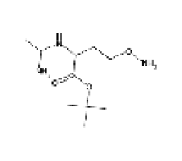 CC(N)NC(CCON)C(=O)OC(C)(C)C